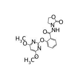 COc1cc(OC)nc(Oc2ccccc2C(=O)NN2CCOC2=O)n1